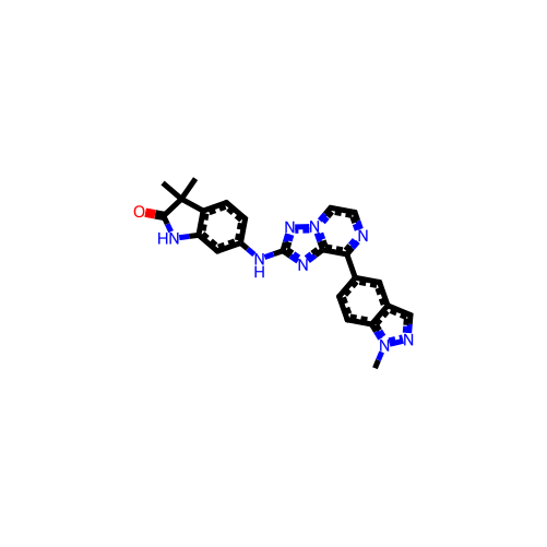 Cn1ncc2cc(-c3nccn4nc(Nc5ccc6c(c5)NC(=O)C6(C)C)nc34)ccc21